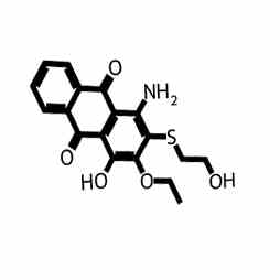 CCOc1c(O)c2c(c(N)c1SCCO)C(=O)c1ccccc1C2=O